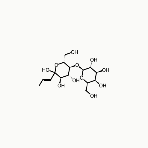 CC=CC1(O)O[C@H](CO)[C@@H](O[C@@H]2O[C@H](CO)[C@H](O)[C@H](O)[C@H]2O)[C@H](O)[C@H]1O